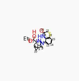 CCOC(O)/C(C)=N/N(CC1CC1)c1cccc2c1NC(=O)CS2